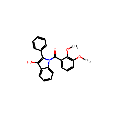 COc1cccc(C(=O)n2c(-c3ccccc3)c(O)c3ccccc32)c1OC